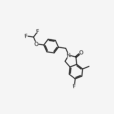 Cc1cc(F)cc2c1C(=O)N(Cc1ccc(OC(F)F)cc1)C2